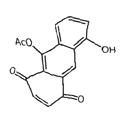 CC(=O)Oc1c2c(cc3c(O)cccc13)C(=O)C=CC2=O